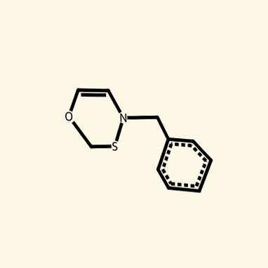 C1=CN(Cc2ccccc2)SCO1